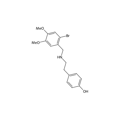 COc1cc(Br)c(CNCCc2ccc(O)cc2)cc1OC